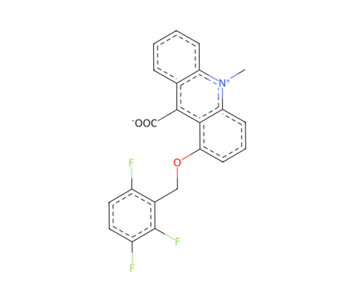 C[n+]1c2ccccc2c(C(=O)[O-])c2c(OCc3c(F)ccc(F)c3F)cccc21